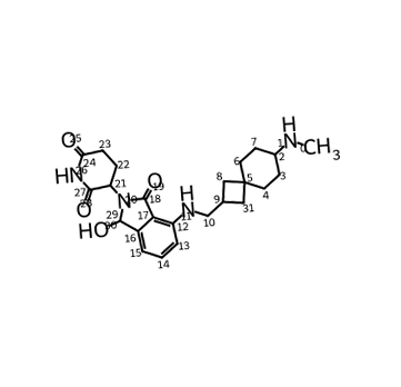 CNC1CCC2(CC1)CC(CNc1cccc3c1C(=O)N(C1CCC(=O)NC1=O)C3O)C2